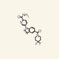 NC(=O)c1ccc(-n2nnc3cc(C(=O)N4CCC(F)(F)CC4)ccc32)cn1